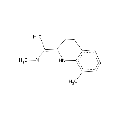 C=N/C(C)=C1/CCc2cccc(C)c2N1